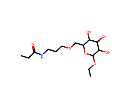 CCOC1OC(COCCCNC(=O)CC)C(O)C(O)C1O